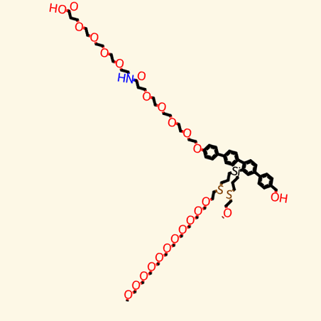 COCCSCCC[Si]1(CCCSCCOCOCOCOCOCOCOCOCOCOCOC)c2cc(-c3ccc(CO)cc3)ccc2-c2ccc(-c3ccc(OCCOCCOCCOCCOCCC(=O)NCCOCCOCCOCCOCCC(=O)O)cc3)cc21